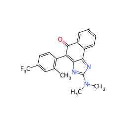 Cc1cc(C(F)(F)F)ccc1C1=C2N=C(N(C)C)N=C2c2ccccc2C1=O